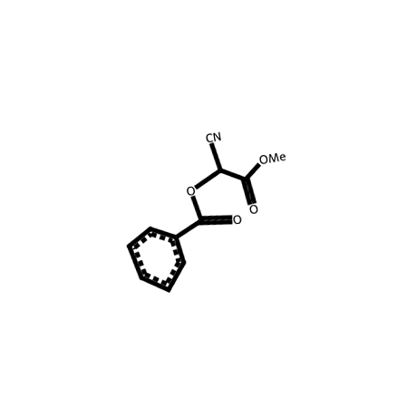 COC(=O)C(C#N)OC(=O)c1ccccc1